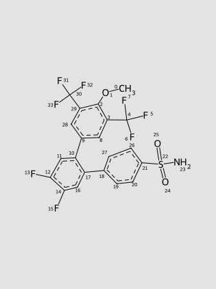 COc1c(C(F)(F)F)cc(-c2cc(F)c(F)cc2-c2ccc(S(N)(=O)=O)cc2)cc1C(F)(F)F